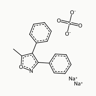 Cc1onc(-c2ccccc2)c1-c1ccccc1.O=S(=O)([O-])[O-].[Na+].[Na+]